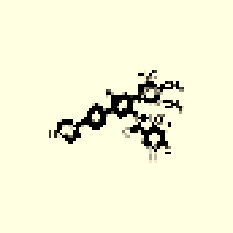 C[C@@H]1CN(c2cc(F)c(-c3ccc(N4CCNCC4)cc3)cc2NC(=O)c2c[nH]c(=O)cc2C(F)(F)F)C[C@H](C)N1C